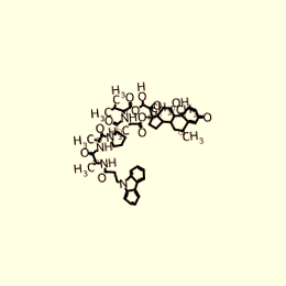 CCC(=O)O[C@]1(C(=O)C(O)OC(=O)[C@@H](NC(=O)[C@@H]2CCCN2C(=O)[C@H](C)NC(=O)[C@H](C)NC(=O)CCn2c3ccccc3c3ccccc32)C(C)C)CCC2C3C[C@H](C)C4=CC(=O)C=C[C@]4(C)C3[C@@H](O)C[C@@]21C